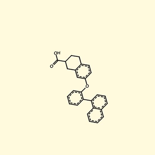 O=C(O)C1CCc2ccc(Oc3ccccc3-c3cccc4ccccc34)cc2C1